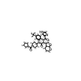 CC(C)(C)c1ccc(N(C(=O)c2c[nH]cn2)C(C(=O)NC2CCN(C(=O)C3CCCC3)CC2)C2COC3OCCCC32)cc1